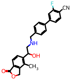 Cc1c(C(O)CNCc2ccc(-c3ccc(C#N)c(F)c3)cc2)ccc2c1COC2=O